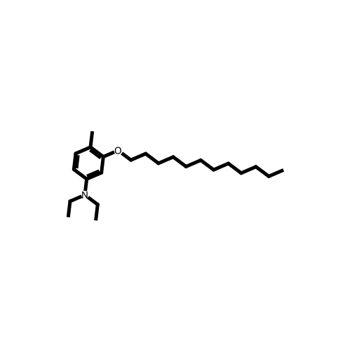 CCCCCCCCCCCCOc1cc(N(CC)CC)ccc1C